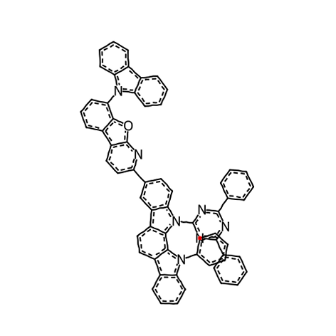 c1ccc(-c2nc(-c3ccccc3)nc(-n3c4ccc(-c5ccc6c(n5)oc5c(-n7c8ccccc8c8ccccc87)cccc56)cc4c4ccc5c6ccccc6n(-c6ccccc6)c5c43)n2)cc1